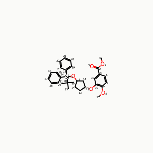 COC(=O)c1ccc(OC)c(O[C@@H]2CC[C@@H](O[Si](c3ccccc3)(c3ccccc3)C(C)(C)C)C2)c1